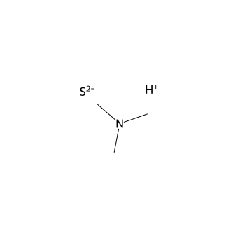 CN(C)C.[H+].[S-2]